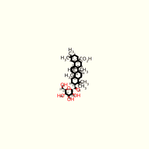 CC1(C)CC[C@]2(C(=O)O)CC[C@]3(C)C(=CCC4[C@@]5(C)CC[C@H](C(=O)[C@H]6O[C@H](CO)[C@@H](O)C(O)C6O)C(C)(C)C5CC[C@]43C)C2C1